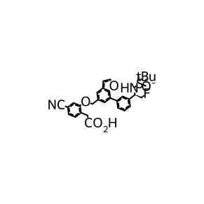 CC(C)(C)[S@@+]([O-])N[C@@H](CF)c1cccc(-c2cc(COc3cc(C#N)ccc3CC(=O)O)cc3ccoc23)c1